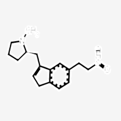 CN1CCC[C@@H]1CC1=CCc2ccc(CC[SH](=O)=O)cc21